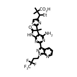 CCC(c1csc(C2(C)C(=O)Nc3nc(-c4nn(CCC(F)(F)C(F)(F)F)c5ncccc45)nc(N)c32)n1)C(C)(C)C(=O)O